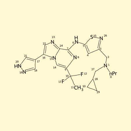 CCCN(Cc1cc(Nc2nc(C(C)(F)F)cn3c(-c4cn[nH]c4)cnc23)sn1)CC1CC1